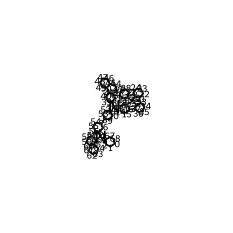 c1ccc(-n2c3cc(-c4ccc(N(c5ccc6c(c5)C(c5ccccc5)(c5ccccc5)c5ccccc5-6)c5ccc6c(ccc7ccccc76)c5)cc4)ccc3c3ccc4ccccc4c32)cc1